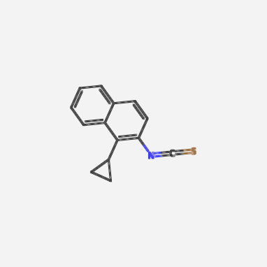 S=C=Nc1ccc2ccccc2c1C1CC1